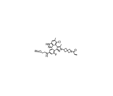 C=CC(=O)N1CC2(CC(n3nc(-c4ccc(NCCOC)cc4F)c(-c4c(Cl)c(C)cc5[nH]ncc45)c3C)C2)C1